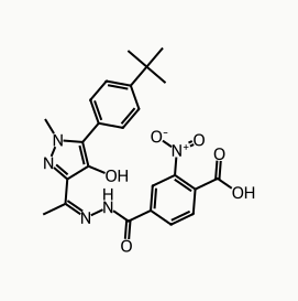 CC(=NNC(=O)c1ccc(C(=O)O)c([N+](=O)[O-])c1)c1nn(C)c(-c2ccc(C(C)(C)C)cc2)c1O